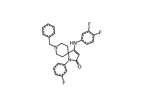 O=C1C=C(Nc2ccc(F)c(F)c2)C2(CCN(Cc3ccccc3)CC2)N1c1cccc(F)c1